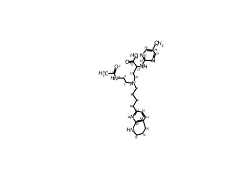 CC(=O)NCCN(CCCCc1ccc2c(n1)NCCC2)CCC(Nc1ncc(C)cn1)C(=O)O